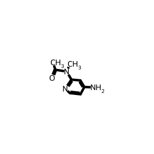 CC(=O)N(C)c1cc(N)ccn1